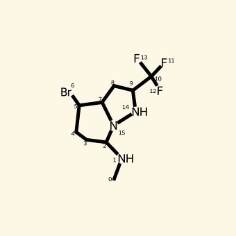 CNC1CCC(Br)C2CC(C(F)(F)F)NN12